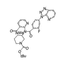 CNC(=O)c1cccnc1N(C(=O)c1ccc(-n2nnc3cccnc32)cc1F)[C@@H]1CCCN(C(=O)OC(C)(C)C)C1